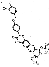 COC(=O)[C@@H]1Cc2cc3c(cc2CN1C(=O)OC(C)(C)C)O[C@H](c1ccc(OCc2ccc(Cl)c(Cl)c2)cc1)C(=O)N3